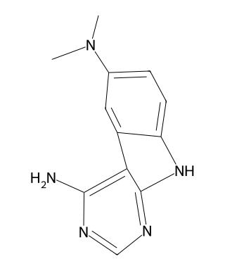 CN(C)c1ccc2[nH]c3ncnc(N)c3c2c1